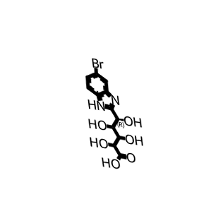 O=C(O)C(O)C(O)C(O)[C@H](O)c1nc2cc(Br)ccc2[nH]1